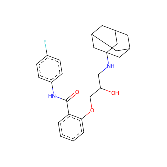 O=C(Nc1ccc(F)cc1)c1ccccc1OCC(O)CNC12CC3CC(CC(C3)C1)C2